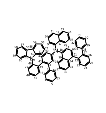 c1ccc(-c2cc(N(c3cccc4ccccc34)c3ccc(-c4ccccc4-c4ccccc4)c4ccccc34)ccc2-c2ccccc2-n2c3ccccc3c3ccccc32)cc1